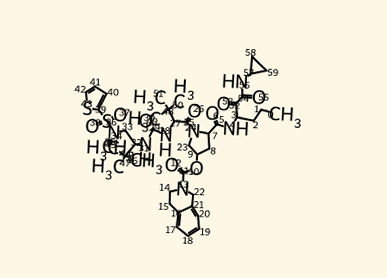 CCCC(NC(=O)C1CC(OC(=O)N2CCc3ccccc3C2)CN1C(=O)C(NC(=O)NC(CN(C)S(=O)(=O)c1cccs1)C(C)(C)C)C(C)(C)C)C(=O)C(=O)NC1CC1